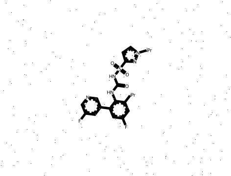 CC(C)c1cc(F)cc(-c2cncc(F)c2)c1NC(=O)NS(=O)(=O)c1ccn(C(C)C)n1